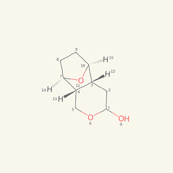 OC1C[C@@H]2[C@H](CO1)[C@H]1CC[C@@H]2O1